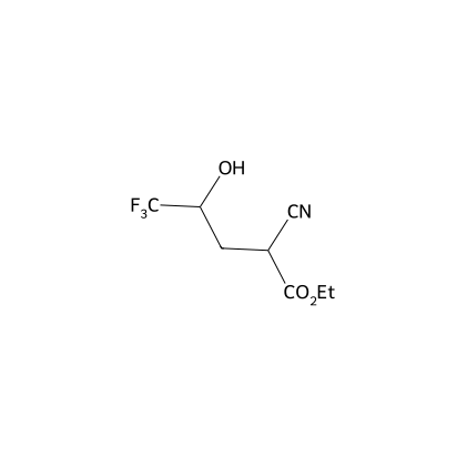 CCOC(=O)C(C#N)CC(O)C(F)(F)F